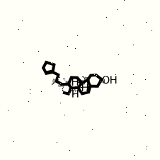 C[C@H](CC1=CCCC1)[C@H]1CC[C@H]2[C@@H]3CC=C4C[C@@H](O)CC[C@]4(C)[C@H]3CC[C@]12C